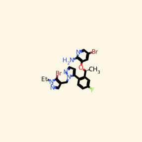 CCn1ncc(Cn2nccc2-c2ccc(F)cc2[C@@H](C)Oc2cc(Br)cnc2N)c1Br